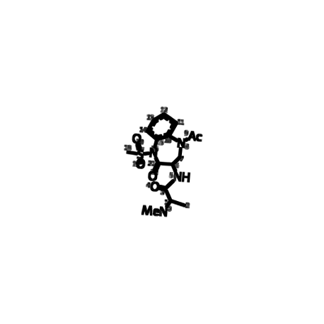 CNC(C)C(=O)NC1CN(C(C)=O)c2ccccc2N(S(C)(=O)=O)C1=O